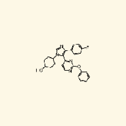 OC1CCC(n2cnc(-c3ccc(F)cc3)c2-c2ccnc(Oc3ccccc3)n2)CC1